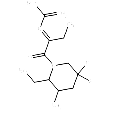 C=C(C)/N=C(\CC)C(=O)N1CC(F)(F)CC(C)C1CO